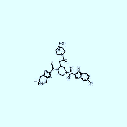 CC1Cc2nc(C(=O)N3CCN(S(=O)(=O)c4cc5cc(Cl)ccc5[nH]4)CC3CC(=O)N3CCNCC3)sc2CN1.Cl